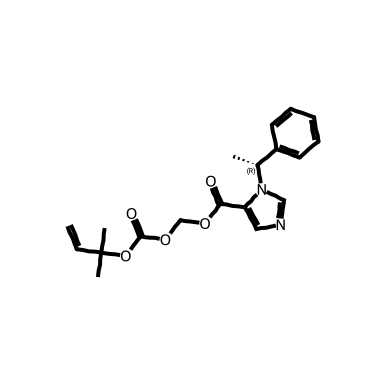 C=CC(C)(C)OC(=O)OCOC(=O)c1cncn1[C@H](C)c1ccccc1